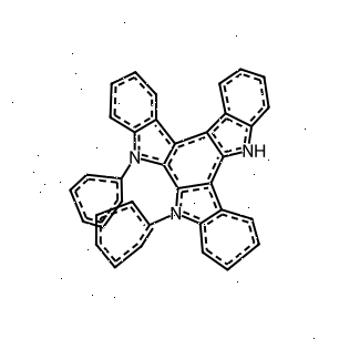 c1ccc(-n2c3ccccc3c3c4[nH]c5ccccc5c4c4c5ccccc5n(-c5ccccc5)c4c32)cc1